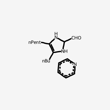 CCCCCC1=C(CCCC)NC(C=O)N1.c1ccncc1